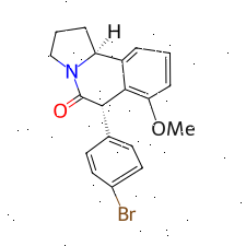 COc1cccc2c1[C@H](c1ccc(Br)cc1)C(=O)N1CCC[C@@H]21